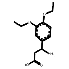 CCOc1ccc(C(N)CC(=O)O)cc1OCC